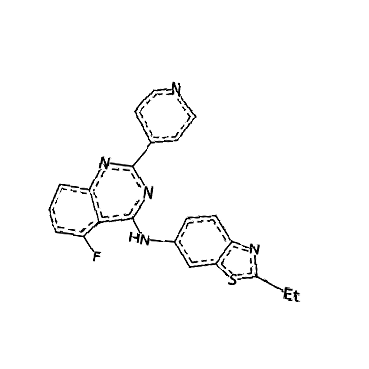 CCc1nc2ccc(Nc3nc(-c4ccncc4)nc4cccc(F)c34)cc2s1